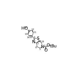 CC(C)(C)OC(=O)N1CCc2nc(-c3ccc(O)cc3)sc2C1